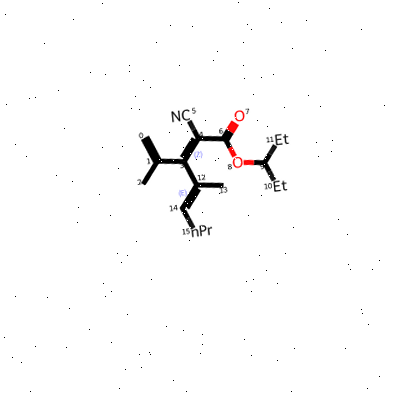 C=C(C)C(=C(\C#N)C(=O)OC(CC)CC)/C(C)=C/CCC